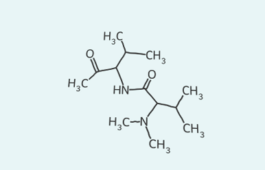 CC(=O)C(NC(=O)C(C(C)C)N(C)C)C(C)C